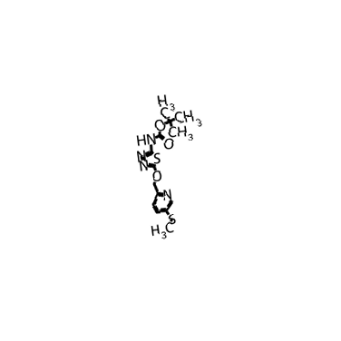 CSc1ccc(COc2nnc(NC(=O)OC(C)(C)C)s2)nc1